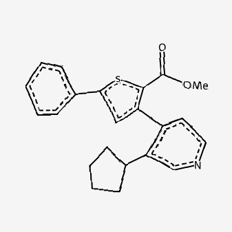 COC(=O)c1sc(-c2ccccc2)cc1-c1ccncc1C1CCCC1